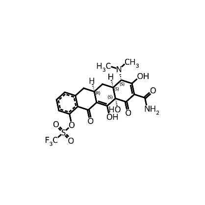 CN(C)[C@@H]1C(O)=C(C(N)=O)C(=O)[C@@]2(O)C(O)=C3C(=O)c4c(cccc4OS(=O)(=O)C(F)(F)F)C[C@H]3C[C@@H]12